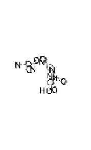 COCCn1c(CN2CCC(c3cccc(OCc4ccc(C#N)c5cccnc45)n3)CC2)nc2ccc(C(=O)O)cc21